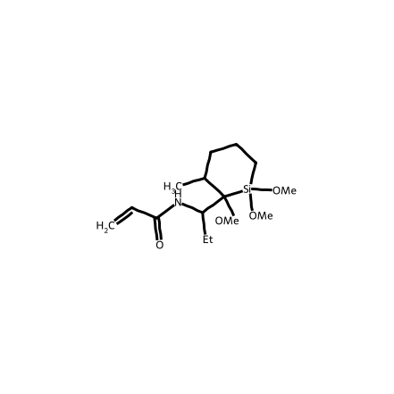 C=CC(=O)NC(CC)C1(OC)C(C)CCC[Si]1(OC)OC